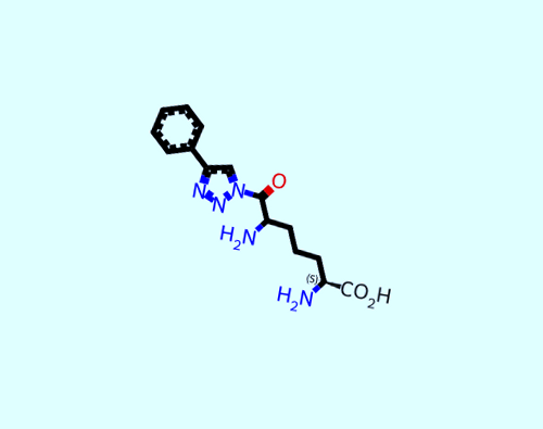 NC(CCC[C@H](N)C(=O)O)C(=O)n1cc(-c2ccccc2)nn1